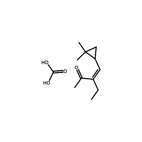 CCC(=CC1CC1(C)C)C(C)=O.O=C(O)O